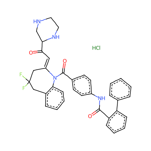 Cl.O=C(Nc1ccc(C(=O)N2C(=CC(=O)C3CNCCN3)CC(F)(F)Cc3ccccc32)cc1)c1ccccc1-c1ccccc1